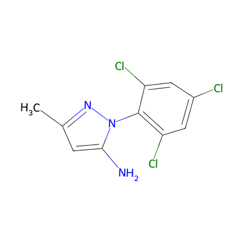 Cc1cc(N)n(-c2c(Cl)cc(Cl)cc2Cl)n1